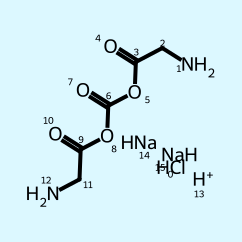 Cl.NCC(=O)OC(=O)OC(=O)CN.[H+].[NaH].[NaH]